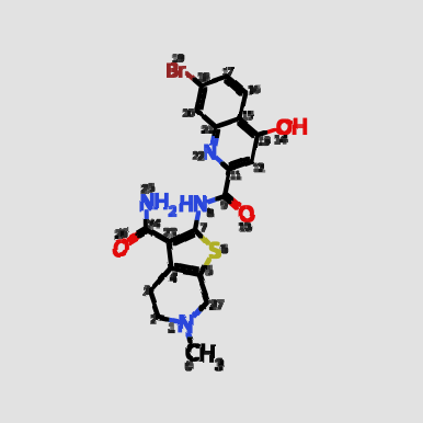 CN1CCc2c(sc(NC(=O)c3cc(O)c4ccc(Br)cc4n3)c2C(N)=O)C1